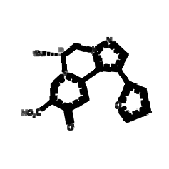 CC(C)(C)[C@@H]1Cn2ncc(-c3ccco3)c2-c2cc(=O)c(C(=O)O)cn21